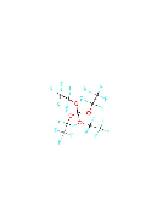 FC(F)(F)C(F)(F)O[Si](OC(F)(F)C(F)(F)F)(OC(F)(F)C(F)(F)F)OC(F)(F)C(F)(F)F